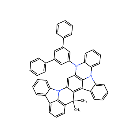 CC1(C)c2c(cc3c4c2c2ccccc2n4-c2ccccc2N3c2cc(-c3ccccc3)cc(-c3ccccc3)c2)-n2c3ccccc3c3cccc1c32